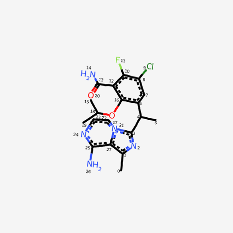 Cc1nc(C(C)c2cc(Cl)c(F)c(C(N)=O)c2OC(C)C)n2ccnc(N)c12